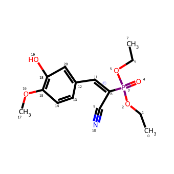 CCOP(=O)(OCC)/C(C#N)=C/c1ccc(OC)c(O)c1